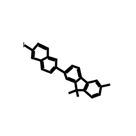 Cc1ccc2c(c1)-c1ccc(-c3ccc4cc(I)ccc4c3)cc1C2(C)C